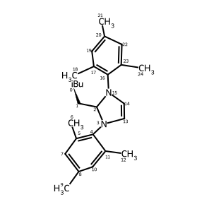 CC[C@H](C)CC1N(c2c(C)cc(C)cc2C)C=CN1c1c(C)cc(C)cc1C